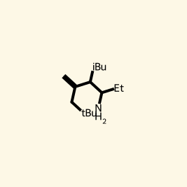 C=C(CC(C)(C)C)C(C(C)CC)C(N)CC